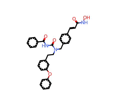 O=C(/C=C/c1ccc(CN(CCc2cccc(Oc3ccccc3)c2)C(=O)NC(=O)c2ccccc2)cc1)NO